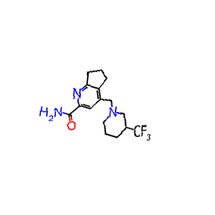 NC(=O)c1cc(CN2CCCC(C(F)(F)F)C2)c2c(n1)CCC2